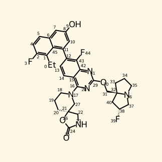 CCc1c(F)ccc2cc(O)cc(-c3ccc4c(N5CCC[C@@]6(CNC(=O)O6)C5)nc(OC[C@@]56CCCN5C[C@H](F)C6)nc4c3F)c12